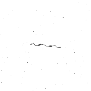 C=CCC#CCCC#CCC=C